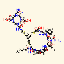 CCCCCC(=O)N[C@H]1CSCc2cc(CSCCNC(=O)CN3CCN(CC(=O)O)CCN(CC(N)=O)CCN(CC(=O)O)CC3)cc(c2)CSCC(C(=O)O)NC(=O)[C@H](Cc2ccccc2)NC(=O)[C@H](CCC(N)=O)NC(=O)[C@H]([C@@H](C)O)NC(=O)[C@@H]2CCCN2C(=O)[C@@H]2CCCN2C1=O